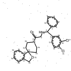 O=C(CNC(c1ccccc1)c1ccc(Cl)c(Cl)c1)N1CCC2(CC1)OCc1ccccc12